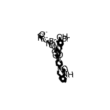 C[S+]([O-])N=C=C=CN=C=C=NC(=O)[C@@H](Cc1cc(Br)c(O)c(Br)c1)OC(=O)N1CCC(N2CCc3ccccc3NC2=O)CC1